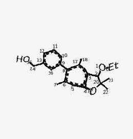 CCOC1c2c(cc(C)c(-c3cccc(CO)c3)c2C)OC1(C)C